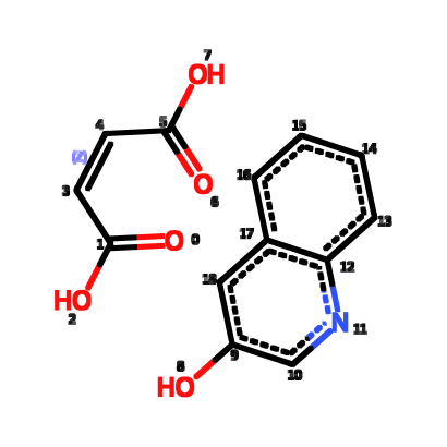 O=C(O)/C=C\C(=O)O.Oc1cnc2ccccc2c1